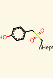 CCCCCCCCS(=O)(=O)Cc1ccc(O)cc1